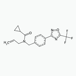 C=CCN(Cc1ccc(-c2noc(C(F)(F)F)n2)cc1)C(=O)C1CC1